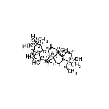 CC[C@]1(C)C2CC[C@]3(C)C(CC=C4C5CC(C)(C)[C@@H](O)[C@H](O)[C@]5(C)[C@H](O)C[C@]43C)[C@@]2(C)CC[C@@H]1O